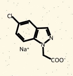 O=C([O-])Cn1ncc2cc(Cl)ccc21.[Na+]